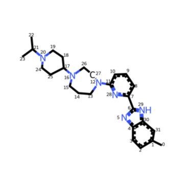 Cc1ccc2nc(-c3cccc(N4CCCN(C5CCN(C(C)C)CC5)CC4)n3)[nH]c2c1